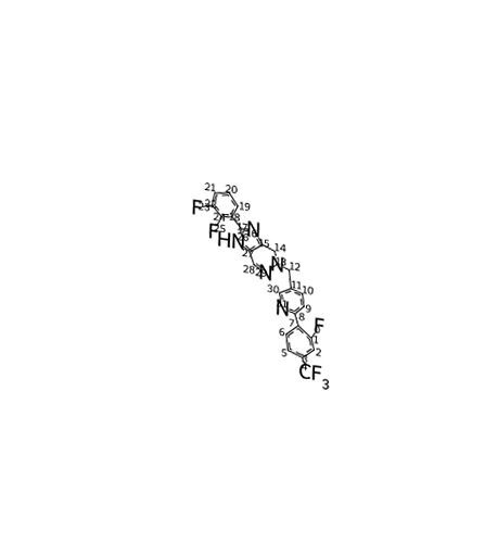 Fc1cc(C(F)(F)F)ccc1-c1ccc(CN2Cc3nc(-c4cccc(F)c4F)[nH]c3C=N2)cn1